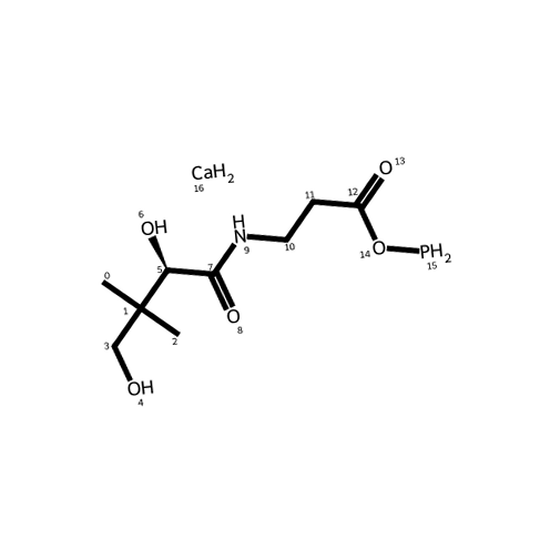 CC(C)(CO)[C@@H](O)C(=O)NCCC(=O)OP.[CaH2]